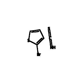 Brc1cccs1.N=C=S